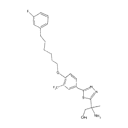 CC(N)(CO)c1nnc(-c2ccc(OCCCCCCc3cccc(F)c3)c(C(F)(F)F)c2)s1